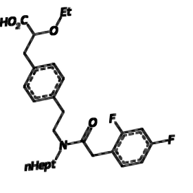 CCCCCCCN(CCc1ccc(CC(OCC)C(=O)O)cc1)C(=O)Cc1ccc(F)cc1F